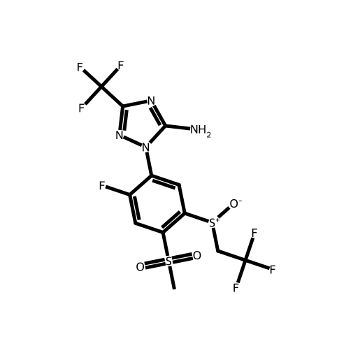 CS(=O)(=O)c1cc(F)c(-n2nc(C(F)(F)F)nc2N)cc1[S+]([O-])CC(F)(F)F